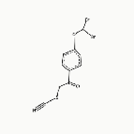 N#CSCC(=O)c1ccc(OC(Br)Br)cc1